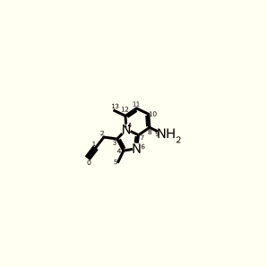 C#CCc1c(C)nc2c(N)ccc(C)n12